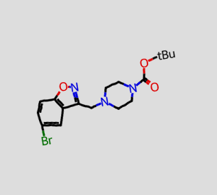 CC(C)(C)OC(=O)N1CCN(Cc2noc3ccc(Br)cc23)CC1